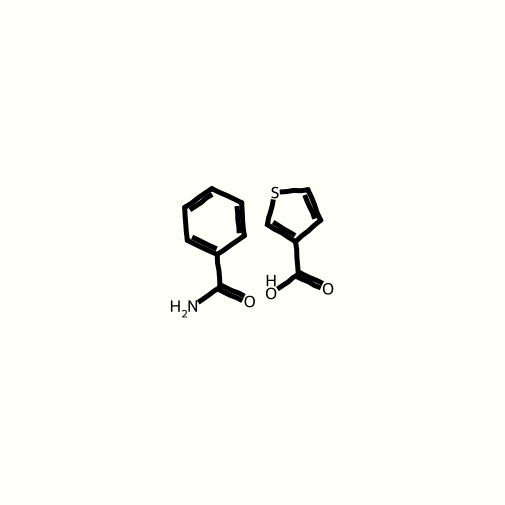 NC(=O)c1ccccc1.O=C(O)c1ccsc1